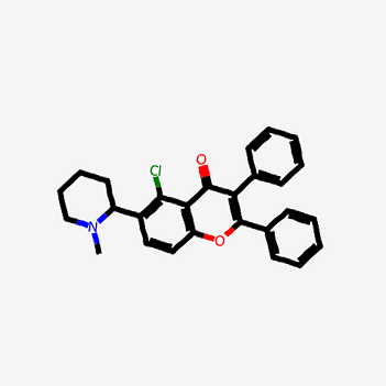 CN1CCCCC1c1ccc2oc(-c3ccccc3)c(-c3ccccc3)c(=O)c2c1Cl